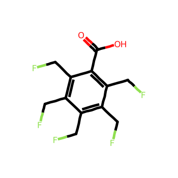 O=C(O)c1c(CF)c(CF)c(CF)c(CF)c1CF